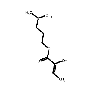 CC=C(O)C(=O)OCCCN(C)C